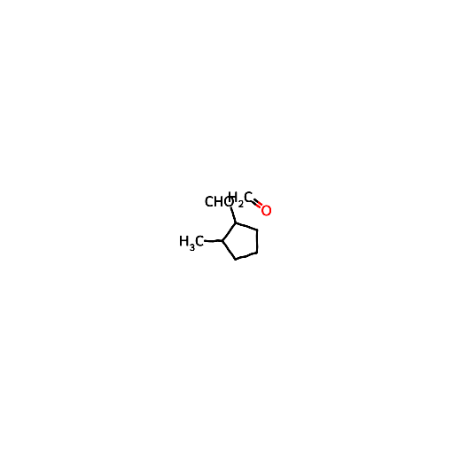 C=O.CC1CCCC1C=O